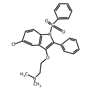 CN(C)CCOc1c(-c2ccccc2)n(S(=O)(=O)c2ccccc2)c2ccc(Cl)cc12